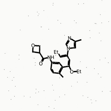 CC/C=C(/C=C(/OCC)c1cc(NC(=O)C2COC2)ccc1C)n1cnc(C)c1